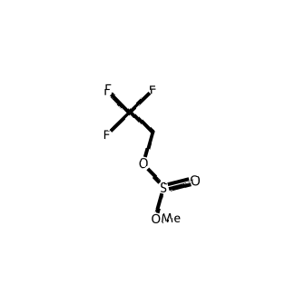 COS(=O)OCC(F)(F)F